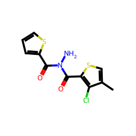 Cc1csc(C(=O)N(N)C(=O)c2cccs2)c1Cl